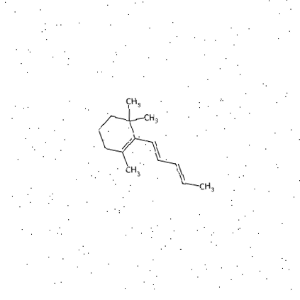 CC=CC=CC1=C(C)CCCC1(C)C